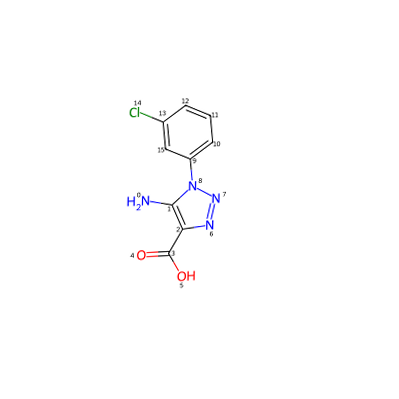 Nc1c(C(=O)O)nnn1-c1cccc(Cl)c1